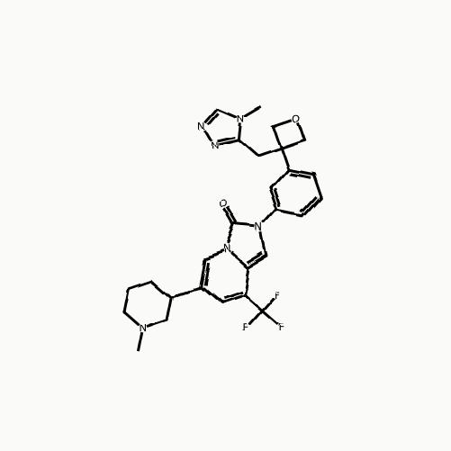 CN1CCCC(c2cc(C(F)(F)F)c3cn(-c4cccc(C5(Cc6nncn6C)COC5)c4)c(=O)n3c2)C1